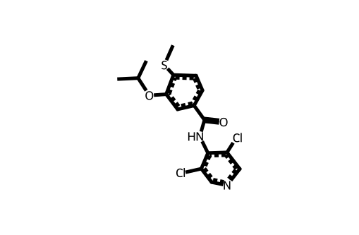 CSc1ccc(C(=O)Nc2c(Cl)cncc2Cl)cc1OC(C)C